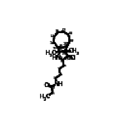 CCC(=O)NCCCCC1NC2(C)C3CCCCCCC(C3)C2(C)C1=O